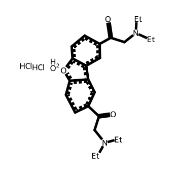 CCN(CC)CC(=O)c1ccc2oc3ccc(C(=O)CN(CC)CC)cc3c2c1.Cl.Cl.O